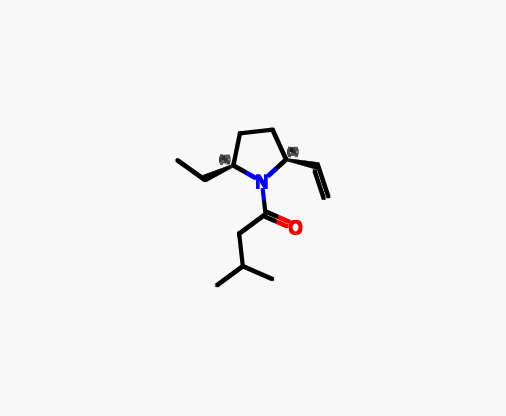 C=C[C@@H]1CC[C@H](CC)N1C(=O)CC(C)C